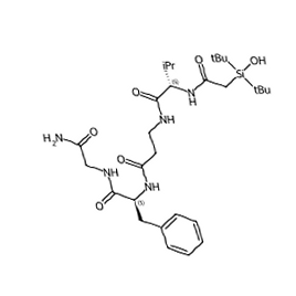 CC(C)[C@H](NC(=O)C[Si](O)(C(C)(C)C)C(C)(C)C)C(=O)NCCC(=O)N[C@@H](Cc1ccccc1)C(=O)NCC(N)=O